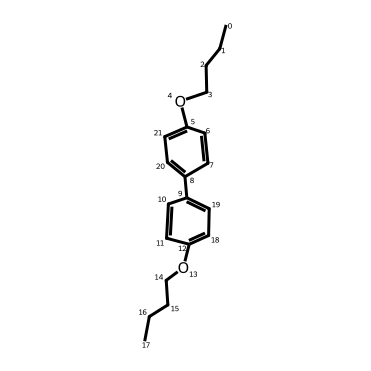 CCCCOc1ccc(-c2ccc(OCCCC)cc2)cc1